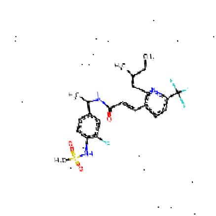 CCC(C)Cc1nc(C(F)(F)F)ccc1C=CC(=O)NC(C)c1ccc(NS(C)(=O)=O)c(F)c1